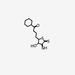 N=C1C(=S)SC(CCCC(=O)C2CCCCC2)C1O